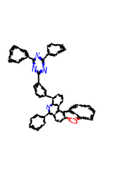 c1ccc(-c2nc(-c3ccccc3)nc(-c3cccc(-c4cccc5c4nc(-c4ccccc4)c4ccc6oc7ccccc7c6c45)c3)n2)cc1